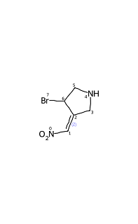 O=[N+]([O-])/C=C1/CNCC1Br